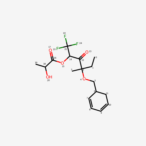 CCC(C)(OCC1C=CC=CC1)C(=O)C(OC(=O)C(C)O)C(F)(F)F